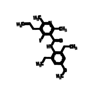 C=CCc1c(C)nc(C)c(C(=O)Nc2c(CC)cc(OC)cc2CC)c1F